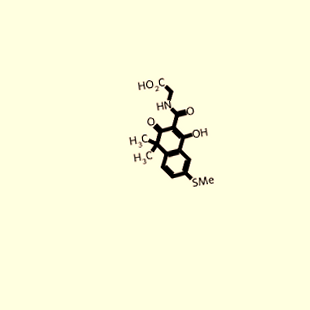 CSc1ccc2c(c1)C(O)=C(C(=O)NCC(=O)O)C(=O)C2(C)C